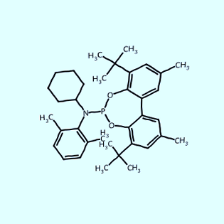 Cc1cc(C(C)(C)C)c2op(N(c3c(C)cccc3C)C3CCCCC3)oc3c(C(C)(C)C)cc(C)cc3c2c1